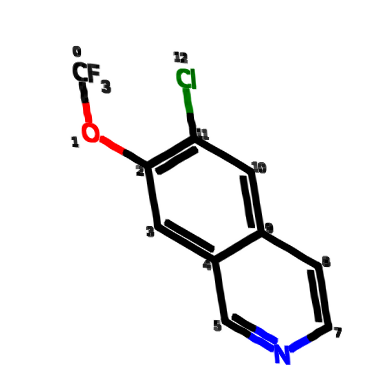 FC(F)(F)Oc1cc2cnccc2cc1Cl